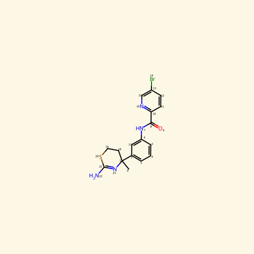 CC1(c2cccc(NC(=O)c3ccc(Br)cn3)c2)CCSC(N)=N1